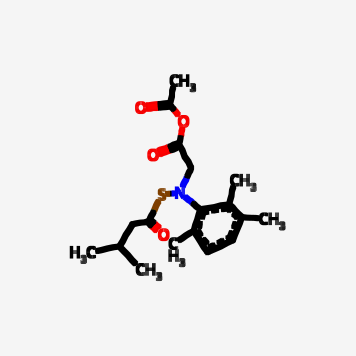 CC(=O)OC(=O)CN(SC(=O)CC(C)C)c1c(C)ccc(C)c1C